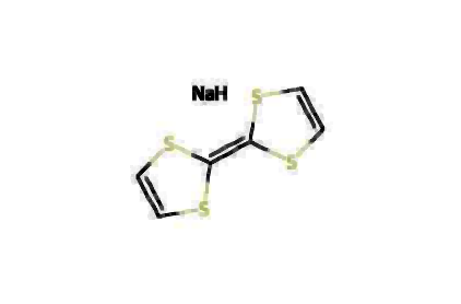 C1=CSC(=C2SC=CS2)S1.[NaH]